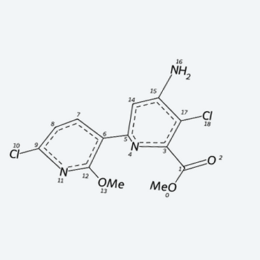 COC(=O)c1nc(-c2ccc(Cl)nc2OC)cc(N)c1Cl